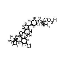 Cc1ccn(-c2cc(Cl)ccc2[C@@H](Oc2ncnc3c(-c4ccc(CC(N)C(=O)O)cc4)csc23)C(F)(F)F)n1